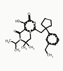 CCc1cccc(C2(Cc3nc(=O)c(O)c4n3CC(C)(C)N(C(C)C)C4=O)CCCC2)c1